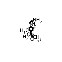 Cc1cc(-n2ccc(N)n2)c(F)cc1C(=O)OC(C)(C)C